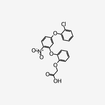 O=C(O)COc1ccccc1Oc1cc(Oc2ccccc2Cl)ccc1[N+](=O)[O-]